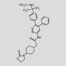 CC(C)(NC(=O)O)c1ccc(-c2nnc(NC(=O)CC3CCC(N4CCOC4=O)CC3)cc2-c2ccccc2)cc1